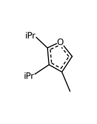 Cc1coc(C(C)C)c1C(C)C